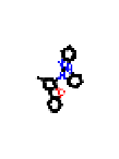 Cc1cc(-n2c3ccccc3n3c4ccccc4nc23)c2oc3ccccc3c2c1